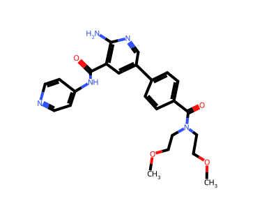 COCCN(CCOC)C(=O)c1ccc(-c2cnc(N)c(C(=O)Nc3ccncc3)c2)cc1